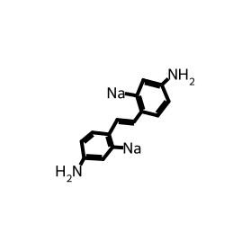 Nc1ccc(C=Cc2ccc(N)c[c]2[Na])[c]([Na])c1